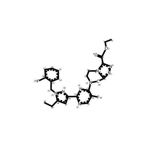 CCOC(=O)c1nnc2n1CCN(c1nc(-c3cc(CC)n(Cc4ccccc4F)n3)ncc1F)C2